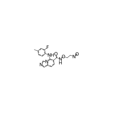 Cc1ccc(Nc2c(C(=O)NOCCN=O)ccc3cncn23)c(F)c1